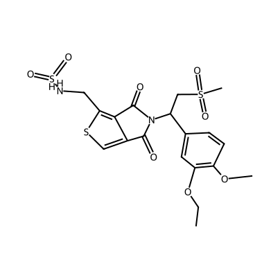 CCOc1cc(C(CS(C)(=O)=O)N2C(=O)c3csc(CN[SH](=O)=O)c3C2=O)ccc1OC